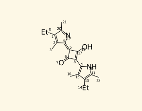 CCC1=C(C)/C(=C2\C(=O)C(c3[nH]c(C)c(CC)c3C)=C2O)N=C1C